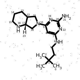 CC(C)(C)CCNc1cc(N2CC3CCCN[C@H]3C2)nc(N)n1